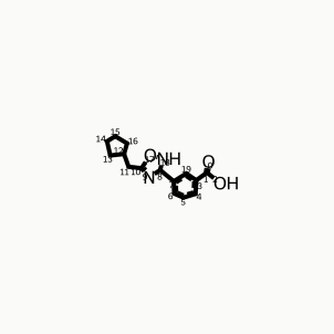 O=C(O)c1cccc(C2N=C(CC3CCCC3)ON2)c1